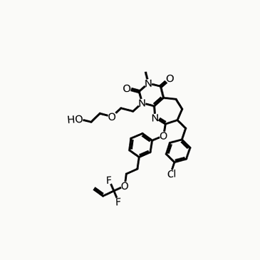 C=CC(F)(F)OCCc1cccc(OC2=Nc3c(c(=O)n(C)c(=O)n3CCOCCO)CCC2Cc2ccc(Cl)cc2)c1